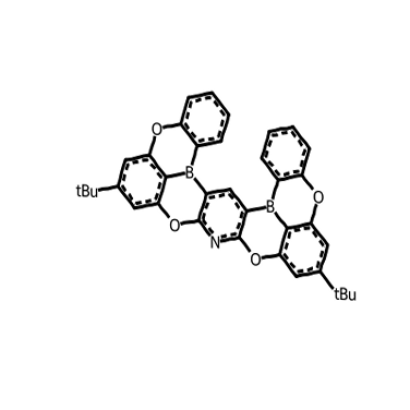 CC(C)(C)c1cc2c3c(c1)Oc1nc4c(cc1B3c1ccccc1O2)B1c2ccccc2Oc2cc(C(C)(C)C)cc(c21)O4